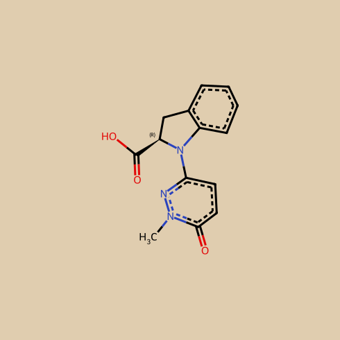 Cn1nc(N2c3ccccc3C[C@@H]2C(=O)O)ccc1=O